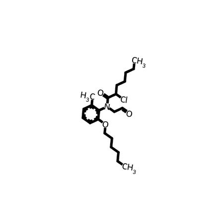 CCCCCCOc1cccc(C)c1N(CC=O)C(=O)C(Cl)CCCCC